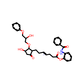 O=C(CC/C=C/CCC1C(=O)CC(O)C1OCC(O)COc1ccccc1)Oc1ccccc1NC(=O)c1ccccc1